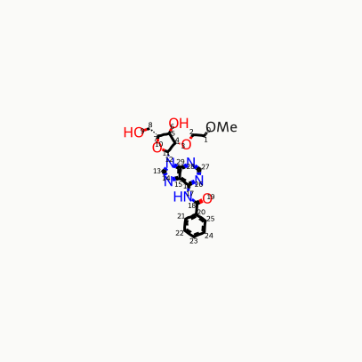 COCCO[C@H]1C(O)[C@@H](CO)O[C@H]1n1cnc2c(NC(=O)c3ccccc3)ncnc21